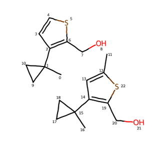 CC1(c2ccsc2CO)CC1.Cc1cc(C2(C)CC2)c(CO)s1